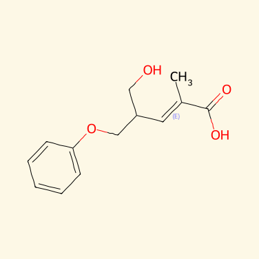 C/C(=C\C(CO)COc1ccccc1)C(=O)O